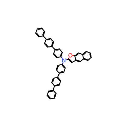 c1ccc(-c2ccc(-c3ccc(N(c4ccc(-c5ccc(-c6ccccc6)cc5)cc4)c4cc5cc6ccccc6cc5o4)cc3)cc2)cc1